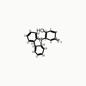 Oc1ccc(F)cc1-n1c2ccccc2c2ccccc21